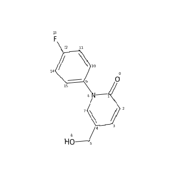 O=c1ccc(CO)cn1-c1ccc(F)cc1